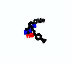 COc1ccc2c(n1)C(CC(O)C1CCC(C3CC3)CC1)n1cncc1-2